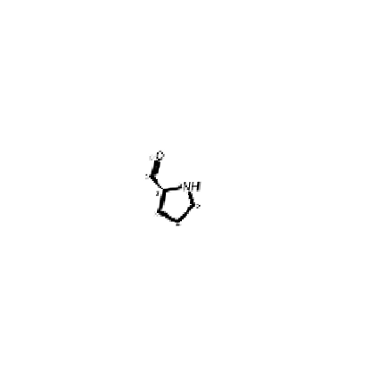 O=[C][C@@H]1CCCN1